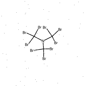 BrC(Br)(Br)N(C(Br)(Br)Br)C(Br)(Br)Br